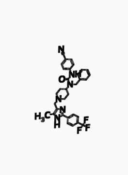 Cc1[nH]c(-c2ccc(C(F)(F)F)cc2)nc1CN1CCC(N(Cc2ccccc2)C(=O)Nc2ccc(C#N)cc2)CC1